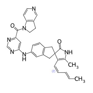 CC=C/C=C\C1=C(C)NC(=O)C12Cc1ccc(Nc3cc(C(=O)N4CCc5cnccc54)ncn3)cc1C2